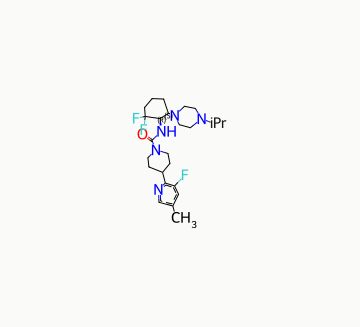 Cc1cnc(C2CCN(C(=O)N[C@@H]3[C@@H](N4CCN(C(C)C)CC4)CCCC3(F)F)CC2)c(F)c1